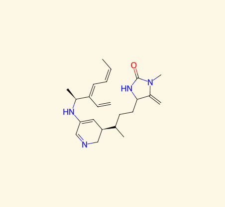 C=C/C(=C\C=C/C)[C@H](C)NC1=C[C@@H](C(C)CCC2NC(=O)N(C)C2=C)CN=C1